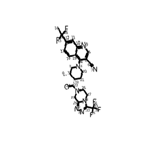 C[C@@H]1CN(c2c(C#N)cnc3cc(C(C)(F)F)ccc23)CC[C@@H]1C(=O)N1CCn2c(nnc2C(F)(F)F)C1